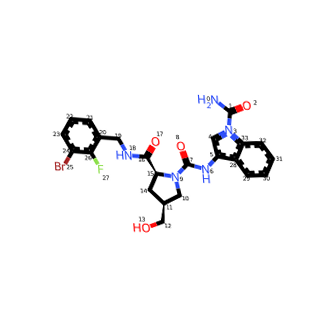 NC(=O)n1cc(NC(=O)N2C[C@@H](CO)C[C@H]2C(=O)NCc2cccc(Br)c2F)c2ccccc21